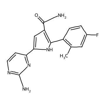 Cc1cc(F)ccc1-c1[nH]c(-c2ccnc(N)n2)cc1C(N)=O